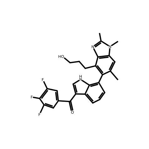 Cc1cc2c(nc(C)n2C)c(CCCO)c1-c1cccc2c(C(=O)c3cc(F)c(F)c(F)c3)c[nH]c12